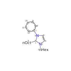 CCCCCCCCC1N(CCCCCC)C=CN1c1ccccc1